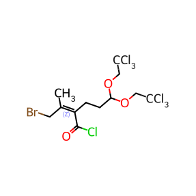 C/C(CBr)=C(\CCC(OCC(Cl)(Cl)Cl)OCC(Cl)(Cl)Cl)C(=O)Cl